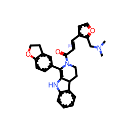 CN(C)Cc1occc1/C=C/C(=O)N1CCC2C(=C1c1ccc3c(c1)CCO3)Nc1ccccc12